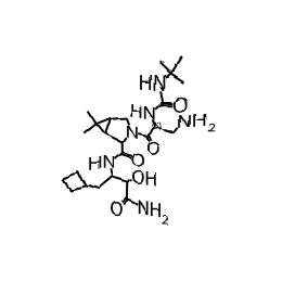 CC(C)(C)NC(=O)N[C@@H](CN)C(=O)N1CC2C(C1C(=O)NC(CC1CCC1)C(O)C(N)=O)C2(C)C